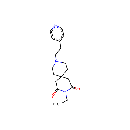 O=C(O)CN1C(=O)CC2(CCN(CCc3ccncc3)CC2)CC1=O